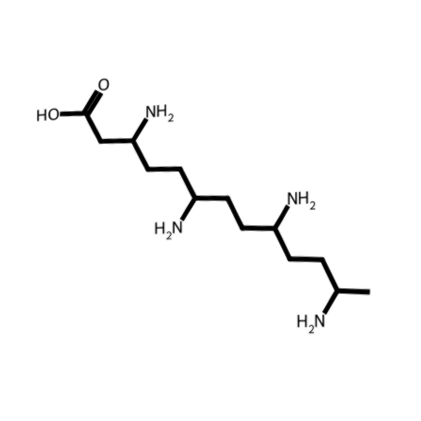 CC(N)CCC(N)CCC(N)CCC(N)CC(=O)O